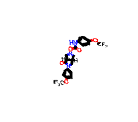 O=C(Nc1ccc(OC(F)(F)F)cc1)ON1C[C@@H]2CN(c3ccc(OC(F)(F)F)cc3)C(=O)[C@@H]2C1